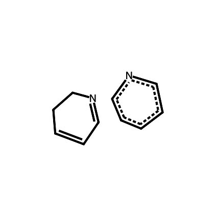 C1=CCCN=C1.c1ccncc1